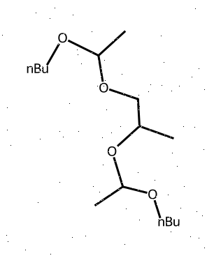 CCCCOC(C)OCC(C)OC(C)OCCCC